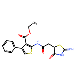 CCOC(=O)c1c(-c2ccccc2)csc1NC(=O)CC1SC(=N)NC1=O